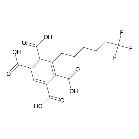 O=C(O)c1cc(C(=O)O)c(C(=O)O)c(CCCCCC(F)(F)F)c1C(=O)O